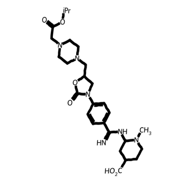 CC(C)OC(=O)CN1CCN(CC2CN(c3ccc(C(=N)NC4CC(C(=O)O)CCN4C)cc3)C(=O)O2)CC1